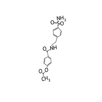 CC(=O)Oc1ccc(C(=O)NCCc2ccc(S(N)(=O)=O)cc2)cc1